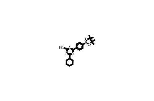 CC(C)(C)c1nc(-c2ccc(B3OC(C)(C)C(C)(C)O3)cc2)nc(C2CCCCC2)n1